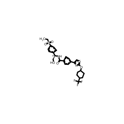 CCS(=O)(=O)c1ccc([C@H](CO)NC(=O)c2ccc(-c3csc(OC4CCC(C(F)(F)F)CC4)n3)cc2)cc1